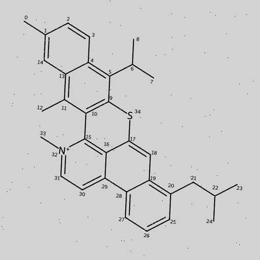 Cc1ccc2c(C(C)C)c3c(c(C)c2c1)-c1c2c(cc4c(CC(C)C)cccc4c2cc[n+]1C)S3